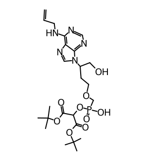 C=CCNc1ncnc2c1ncn2C(CO)CCOCP(=O)(O)OC(C(=O)OC(C)(C)C)C(=O)OC(C)(C)C